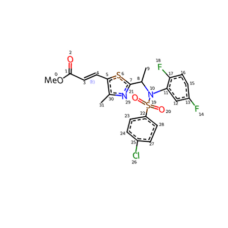 COC(=O)/C=C/c1sc(C(C)N(c2cc(F)ccc2F)S(=O)(=O)c2ccc(Cl)cc2)nc1C